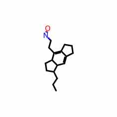 CCCC1CCC2C(CCN=O)=C3CCCC3=CC12